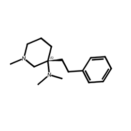 CN1CCC[C@](CCc2ccccc2)(N(C)C)C1